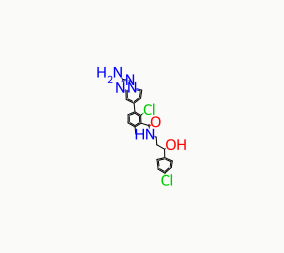 Cc1ccc(-c2ccn3nc(N)nc3c2)c(Cl)c1C(=O)NCCC(O)c1ccc(Cl)cc1